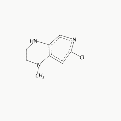 CN1CCNc2cnc(Cl)cc21